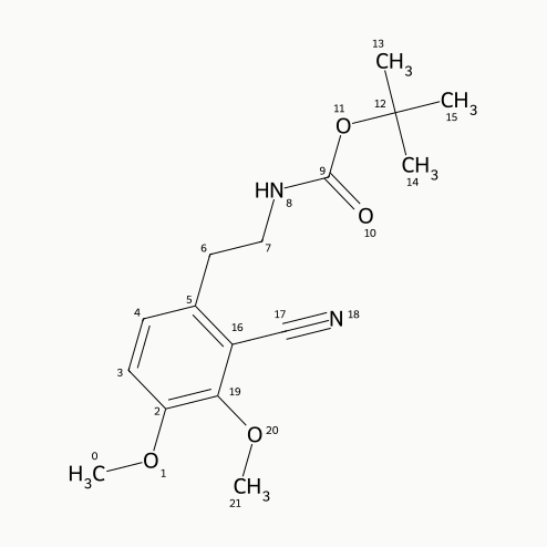 COc1ccc(CCNC(=O)OC(C)(C)C)c(C#N)c1OC